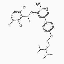 CC(Oc1cc(-c2ccc(OCCN(C(C)C)C(C)C)cc2)cnc1N)c1c(Cl)ccc(F)c1Cl